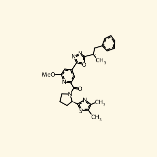 COc1cc(-c2nnc([C](C)Cc3ccccc3)o2)cc(C(=O)N2CCC[C@@H]2c2nc(C)c(C)s2)n1